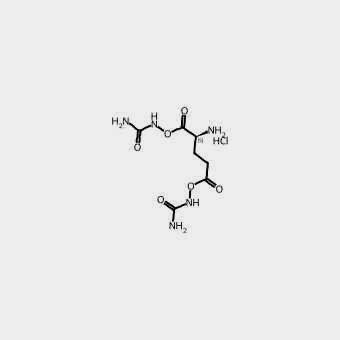 Cl.NC(=O)NOC(=O)CC[C@H](N)C(=O)ONC(N)=O